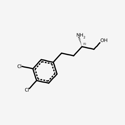 N[C@H](CO)CCc1ccc(Cl)c(Cl)c1